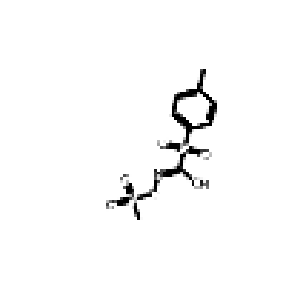 Cc1ccc(S(=O)(=O)C(C#N)=NOS(C)(=O)=O)cc1